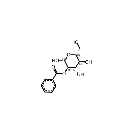 O=C(O[C@@H]1[C@@H](O)[C@H](O)[C@@H](CO)O[C@H]1O)c1ccccc1